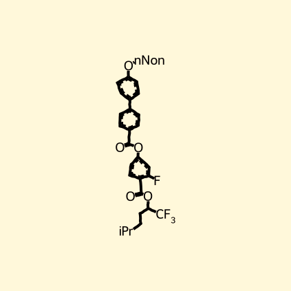 CCCCCCCCCOc1ccc(-c2ccc(C(=O)Oc3ccc(C(=O)OC(CCC(C)C)C(F)(F)F)c(F)c3)cc2)cc1